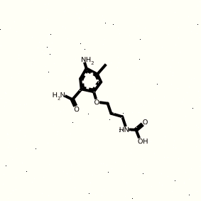 Cc1cc(OCCCNC(=O)O)c(C(N)=O)cc1N